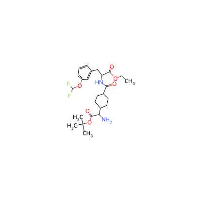 CCOC(=O)C(Cc1cccc(OC(F)F)c1)NC(=O)C1CCC(C(N)C(=O)OC(C)(C)C)CC1